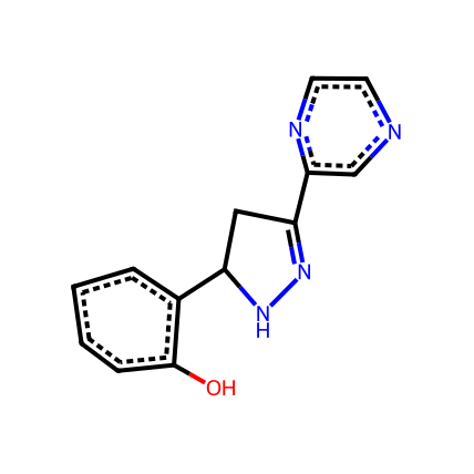 Oc1ccccc1C1CC(c2cnccn2)=NN1